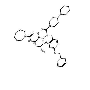 CC(C)C[C@H](NC(=O)N1CCCCCC1)C(=O)N[C@@H](Cc1ccc(OCc2ccccc2)cc1)C(=O)N1CCC(N2CCCCC2)CC1